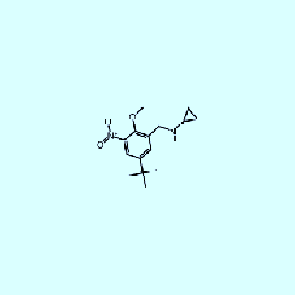 COc1c(CNC2CC2)cc(C(C)(C)C)cc1[N+](=O)[O-]